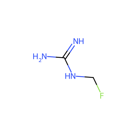 N=C(N)NCF